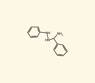 NC(NNc1ccccc1)c1ccccc1